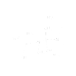 CCN(CC)C(C)(C)[N+](C)(C)C(C)C